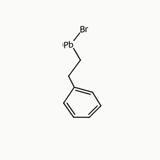 [Br][Pb][CH2]Cc1ccccc1